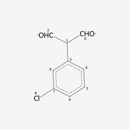 O=[C]C([C]=O)c1cccc(Cl)c1